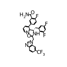 NC(=O)c1cc(-c2cccnc2[C@H](Cc2cc(F)cc(F)c2)NC(=O)Cn2cnc3ccc(C(F)(F)F)cc32)ccc1F